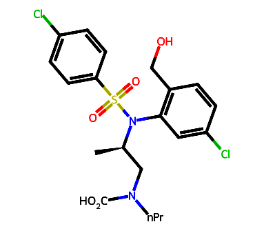 CCCN(C[C@@H](C)N(c1cc(Cl)ccc1CO)S(=O)(=O)c1ccc(Cl)cc1)C(=O)O